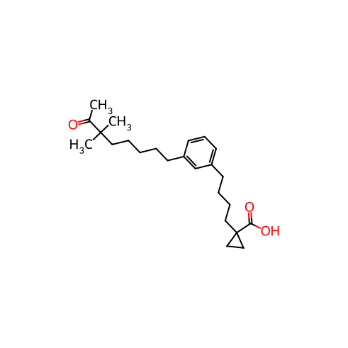 CC(=O)C(C)(C)CCCCCc1cccc(CCCCC2(C(=O)O)CC2)c1